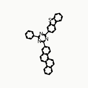 c1ccc(-c2nc(-c3ccc4c(ccc5c6ccccc6ccc45)c3)nc(-c3ccc4c(c3)sc3ccccc34)n2)cc1